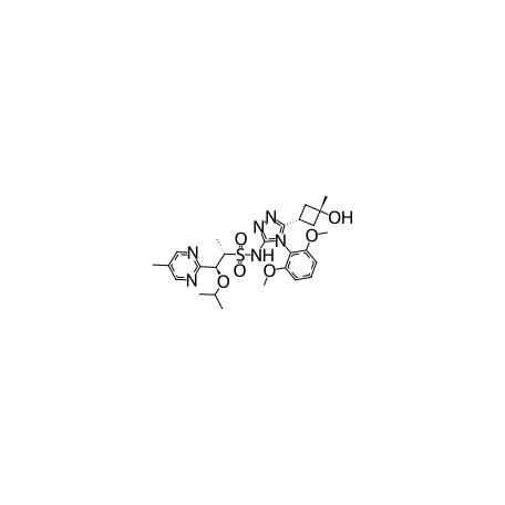 COc1cccc(OC)c1-n1c(NS(=O)(=O)[C@@H](C)[C@@H](OC(C)C)c2ncc(C)cn2)nnc1[C@H]1C[C@@](C)(O)C1